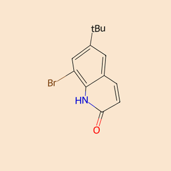 CC(C)(C)c1cc(Br)c2[nH]c(=O)ccc2c1